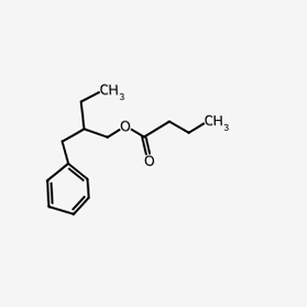 CCCC(=O)OCC(CC)Cc1ccccc1